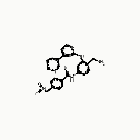 NCc1ccc(NC(=O)c2ccc(C[SH](=O)=O)cc2)cc1Nc1nccc(-c2cccnc2)n1